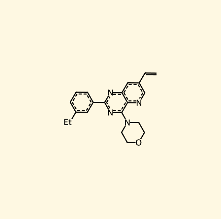 C=Cc1cnc2c(N3CCOCC3)nc(-c3cccc(CC)c3)nc2c1